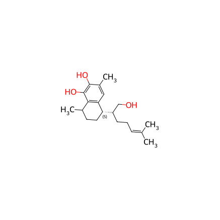 CC(C)=CCCC(CO)[C@@H]1CCC(C)c2c1cc(C)c(O)c2O